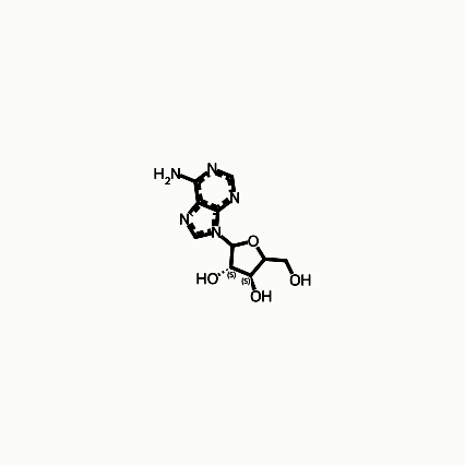 Nc1ncnc2c1ncn2C1OC(CO)[C@@H](O)[C@@H]1O